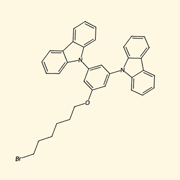 BrCCCCCCOc1cc(-n2c3ccccc3c3ccccc32)cc(-n2c3ccccc3c3ccccc32)c1